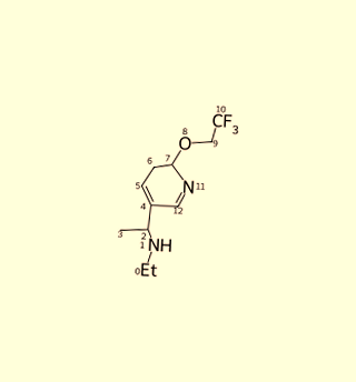 CCNC(C)C1=CCC(OCC(F)(F)F)N=C1